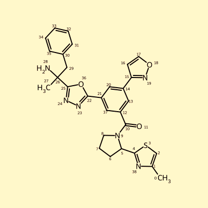 Cc1csc(C2CCCN2C(=O)c2cc(-c3ccon3)cc(-c3nnc(C(C)(N)Cc4ccccc4)o3)c2)n1